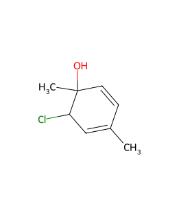 CC1=CC(Cl)C(C)(O)C=C1